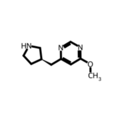 COc1cc(C[C@H]2CCNC2)ncn1